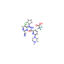 CN1CCN(c2cccc(C(=O)NN(c3nc(C#N)ncc3Cl)C3CCCC3)n2)CC1.O=C(O)C(F)(F)F